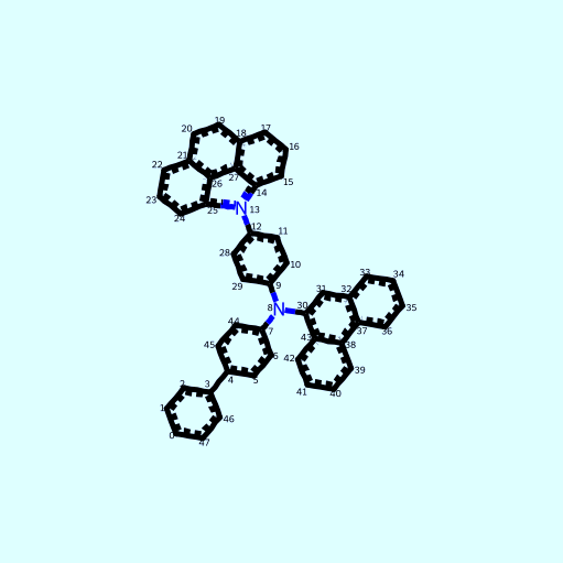 c1ccc(-c2ccc(N(c3ccc(-n4c5cccc6ccc7cccc4c7c65)cc3)c3cc4ccccc4c4ccccc34)cc2)cc1